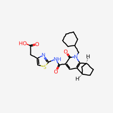 O=C(O)Cc1csc(NC(=O)c2cc3c(n(CC4CCCCC4)c2=O)[C@H]2CC[C@@H]3C2)n1